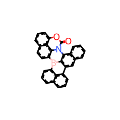 O=C1Oc2cccc3ccc4c(c23)N1c1c2c(cc3ccccc13)-c1cccc3cccc(c13)B42